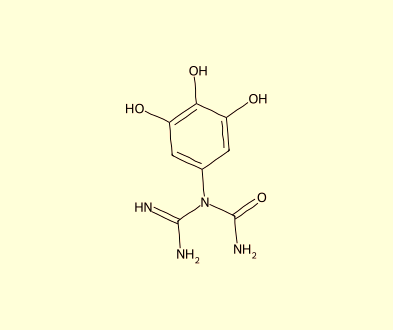 N=C(N)N(C(N)=O)c1cc(O)c(O)c(O)c1